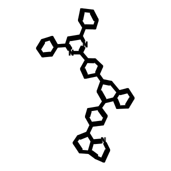 c1ccc(-c2cc(-c3ccccc3)nc(-c3ccc(-c4cc(-c5ccc(-c6cccc7cccnc67)cc5)c5ccccc5c4)cc3)n2)cc1